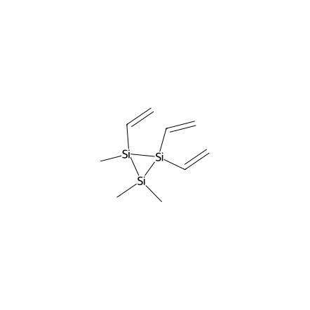 C=C[Si]1(C)[Si](C)(C)[Si]1(C=C)C=C